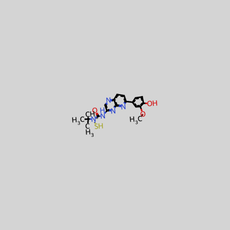 COc1cc(-c2ccc3ncc(NC(=O)N(S)C(C)(C)C)nc3n2)ccc1O